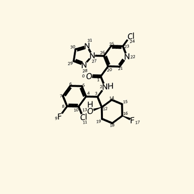 O=C(NC(c1cccc(F)c1Cl)[C@]1(O)CC[C@@H](F)CC1)c1cnc(Cl)cc1-n1nccn1